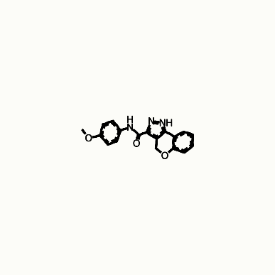 COc1ccc(NC(=O)c2n[nH]c3c2COc2ccccc2-3)cc1